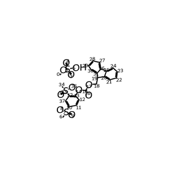 COS(=O)(=O)O.CS(=O)(=O)c1ccc(OC(=O)OCC2c3ccccc3-c3ccccc32)c(S(C)(=O)=O)c1